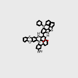 CCCc1ccc(N2c3cc4c(cc3Bc3c(-c5ccc(N(c6ccccc6)c6ccccc6)c6c5[nH]c5sc7ccccc7c56)cc(C)cc32)Sc2ccccc2O4)c(-c2ccccc2)c1